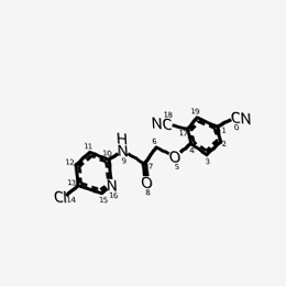 N#Cc1ccc(OCC(=O)Nc2ccc(Cl)cn2)c(C#N)c1